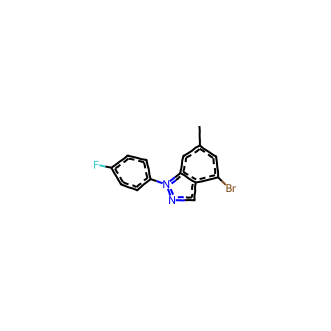 Cc1cc(Br)c2cnn(-c3ccc(F)cc3)c2c1